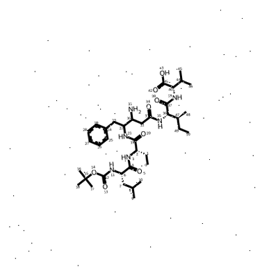 CC[C@H](NC(=O)[C@H](CC(C)C)NC(=O)OC(C)(C)C)C(=O)NC(Cc1ccccc1)C(N)CC(=O)N[C@H](C(=O)N[C@H](C(=O)O)C(C)C)[C@@H](C)CC